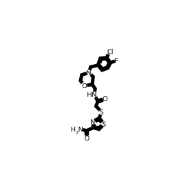 NC(=O)c1csc(SCC(=O)NCC2CN(Cc3ccc(F)c(Cl)c3)CCO2)n1